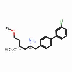 CCOCC[C@H](C[C@H](N)Cc1ccc(-c2cccc(Cl)c2)cc1)C(=O)OCC